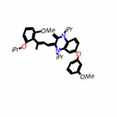 C=C1/C(=C\C=C(/C)c2c(OC)cccc2OC(C)C)N(C(C)C)c2cc(Oc3cccc(OC)c3)ccc2N1C(C)C